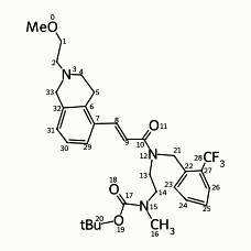 COCCN1CCc2c(/C=C/C(=O)N(CCN(C)C(=O)OC(C)(C)C)Cc3ccccc3C(F)(F)F)cccc2C1